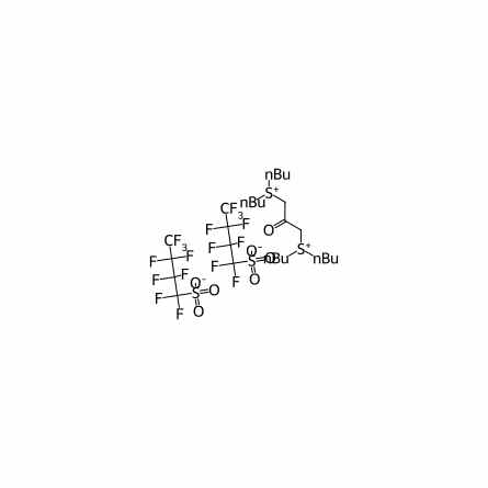 CCCC[S+](CCCC)CC(=O)C[S+](CCCC)CCCC.O=S(=O)([O-])C(F)(F)C(F)(F)C(F)(F)C(F)(F)F.O=S(=O)([O-])C(F)(F)C(F)(F)C(F)(F)C(F)(F)F